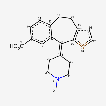 CN1CCC(=C2c3cc(C(=O)O)ccc3CCc3ccsc32)CC1